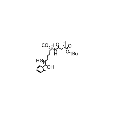 CC1C=CC=CC1C(O)N(O)CCCCC(NC(=O)CNC(=O)OC(C)(C)C)C(=O)O